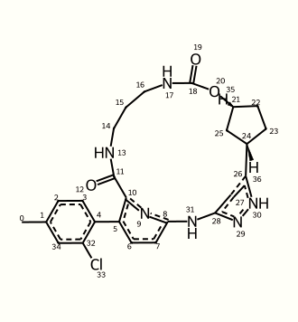 Cc1ccc(-c2ccc3nc2C(=O)NCCCNC(=O)O[C@@H]2CC[C@@H](C2)c2cc(n[nH]2)N3)c(Cl)c1